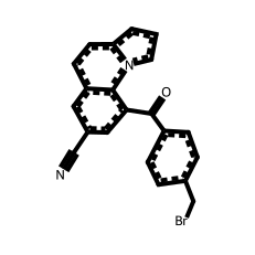 N#Cc1cc(C(=O)c2ccc(CBr)cc2)c2c(ccc3cccn32)c1